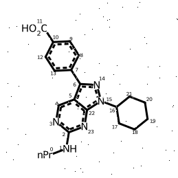 CCCNc1ncc2c(-c3ccc(C(=O)O)cc3)nn(C3CCCCC3)c2n1